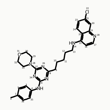 Cc1ccc(Nc2nc(CCCCCNc3ccnc4cc(Cl)ccc34)nc(N3CCOCC3)n2)cc1